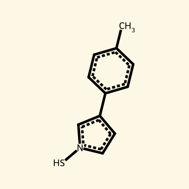 Cc1ccc(-c2ccn(S)c2)cc1